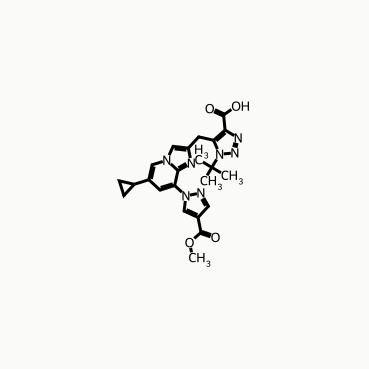 COC(=O)c1cnn(-c2cc(C3CC3)cn3cc(Cc4c(C(=O)O)nnn4C(C)(C)C)nc23)c1